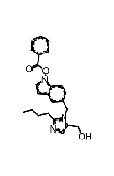 CCCCc1ncc(CO)n1Cc1ccc2c(ccn2OC(=O)c2ccccc2)c1